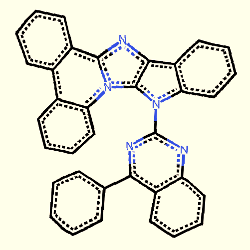 c1ccc(-c2nc(-n3c4ccccc4c4nc5c6ccccc6c6ccccc6n5c43)nc3ccccc23)cc1